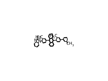 CCC1=NC2C=CC=CC2N1C1C=CC(c2c3ccccc3c(C3C=CC(C4=CC(C)CC=C4)=CC3C)c3ccccc23)=CC1C